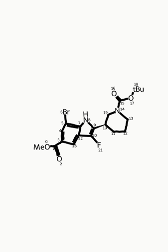 COC(=O)c1cc(Br)c2[nH]c([C@@H]3CCCN(C(=O)OC(C)(C)C)C3)c(F)c2c1